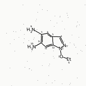 CCOn1ncc2cc(N)c(N)cc21